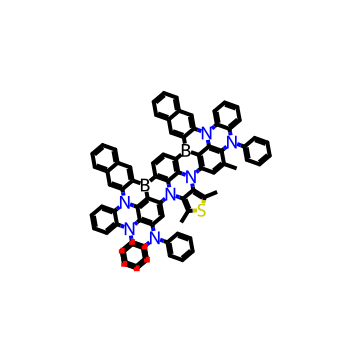 Cc1cc2c3c4c1N(c1ccccc1)c1ccccc1N4c1cc4ccccc4cc1B3c1ccc3c4c1N2c1c(C)sc(C)c1N4c1cc(N(c2ccccc2)c2ccccc2)c2c4c1B3c1cc3ccccc3cc1N4c1ccccc1N2c1ccccc1